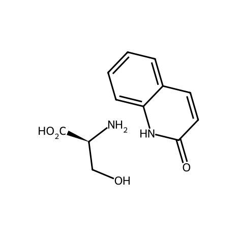 N[C@@H](CO)C(=O)O.O=c1ccc2ccccc2[nH]1